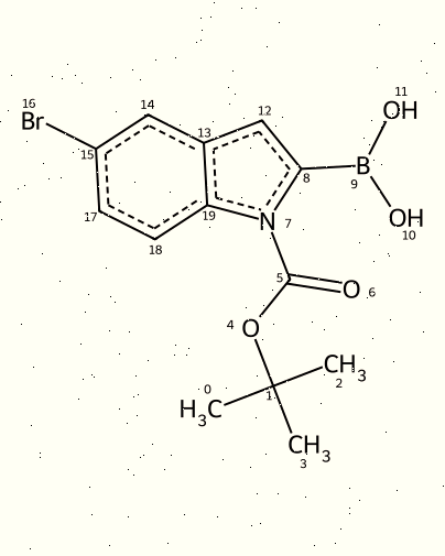 CC(C)(C)OC(=O)n1c(B(O)O)cc2cc(Br)ccc21